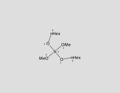 CCCCCCO[Si](OC)(OC)OCCCCCC